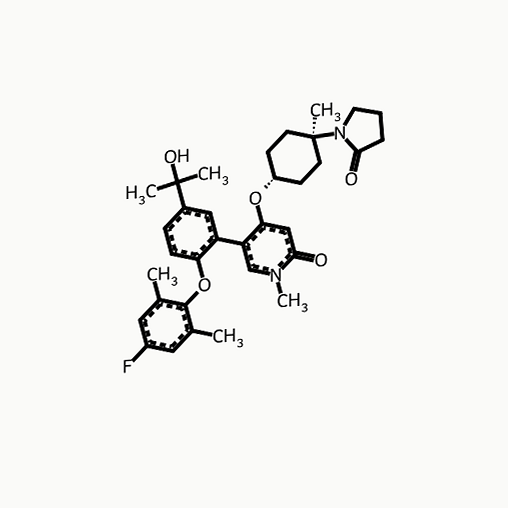 Cc1cc(F)cc(C)c1Oc1ccc(C(C)(C)O)cc1-c1cn(C)c(=O)cc1O[C@H]1CC[C@](C)(N2CCCC2=O)CC1